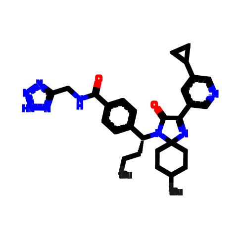 CC(C)(C)CC[C@H](c1ccc(C(=O)NCc2nn[nH]n2)cc1)N1C(=O)C(c2cncc(C3CC3)c2)=NC12CCC(C(C)(C)C)CC2